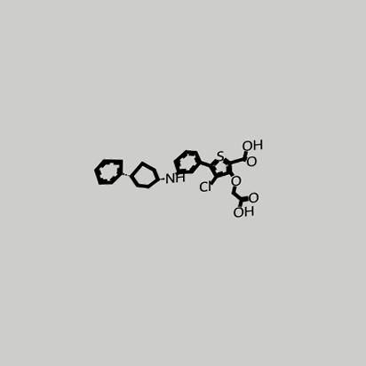 O=C(O)COc1c(C(=O)O)sc(-c2cccc(N[C@H]3CC[C@@H](c4ccccc4)CC3)c2)c1Cl